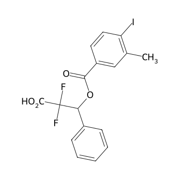 Cc1cc(C(=O)OC(c2ccccc2)C(F)(F)C(=O)O)ccc1I